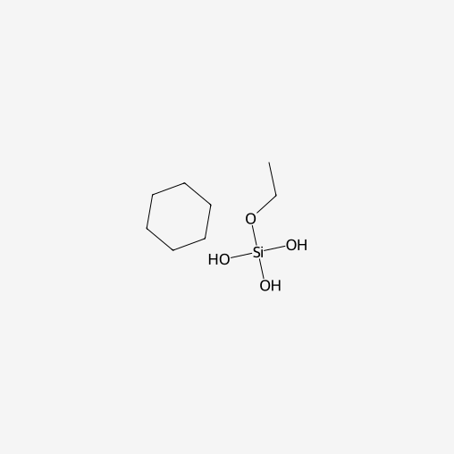 C1CCCCC1.CCO[Si](O)(O)O